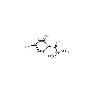 CN(C)C(=O)c1ccc(I)cc1Br